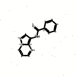 O=C(Nc1cnn2cccnc12)c1ccccc1